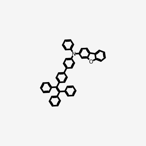 c1ccc(C(=C(c2ccccc2)c2ccc(-c3ccc(N(c4ccccc4)c4ccc5c(c4)oc4ccccc45)cc3)cc2)c2ccccc2)cc1